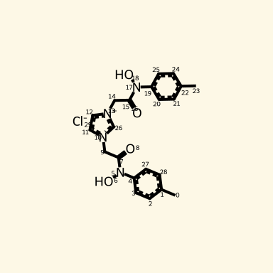 Cc1ccc(N(O)C(=O)Cn2cc[n+](CC(=O)N(O)c3ccc(C)cc3)c2)cc1.[Cl-]